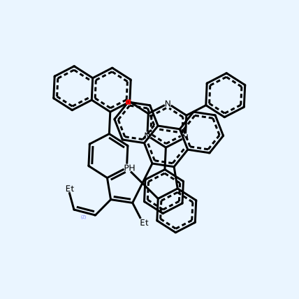 CC/C=C\C1=C(CC)C2(c3ccccc3-c3c2c2ccccc2c2ccccc32)[PH]2=C1C=CC(c1c(-c3nc(-c4ccccc4)nc(-c4ccccc4)n3)ccc3ccccc13)=C2